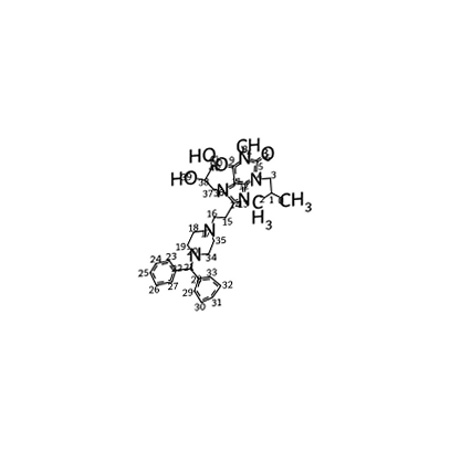 CC(C)Cn1c(=O)n(C)c(=O)c2c1nc(CCN1CCN(C(c3ccccc3)c3ccccc3)CC1)n2CC(O)CO